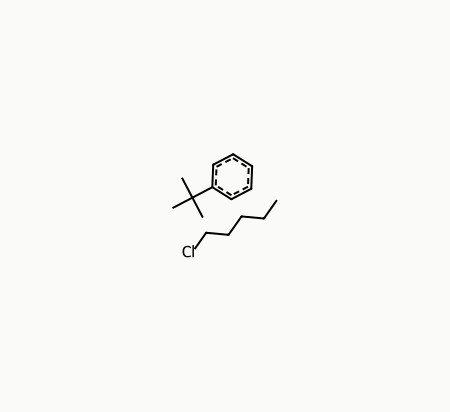 CC(C)(C)c1ccccc1.CCCCCCl